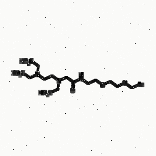 CC(=O)COCCOCCNC(=O)CN(CCN(CC(=O)O)CC(=O)O)CC(=O)O